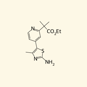 CCOC(=O)C(C)(C)c1cc(-c2sc(N)nc2C)ccn1